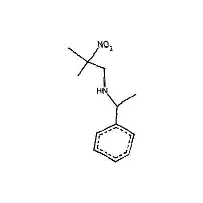 CC(NCC(C)(C)[N+](=O)[O-])c1ccccc1